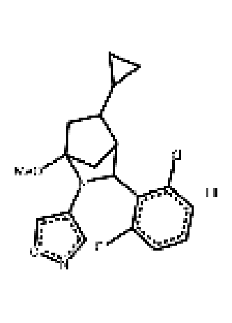 COC12CC(C3CC3)C(C1)C(c1c(Cl)cccc1Cl)N2c1cnoc1.I